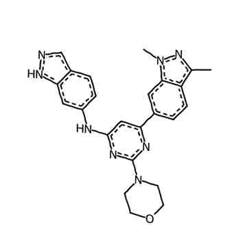 Cc1nn(C)c2cc(-c3cc(Nc4ccc5cn[nH]c5c4)nc(N4CCOCC4)n3)ccc12